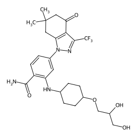 CC1(C)CC(=O)c2c(C(F)(F)F)nn(-c3ccc(C(N)=O)c(NC4CCC(OCC(O)CO)CC4)c3)c2C1